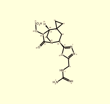 N=C(N)NCc1nnc([C@@H]2CC3(CC3)[C@@H]3CN2C(=O)N3OS(=O)(=O)O)o1